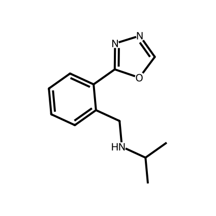 CC(C)NCc1ccccc1-c1nnco1